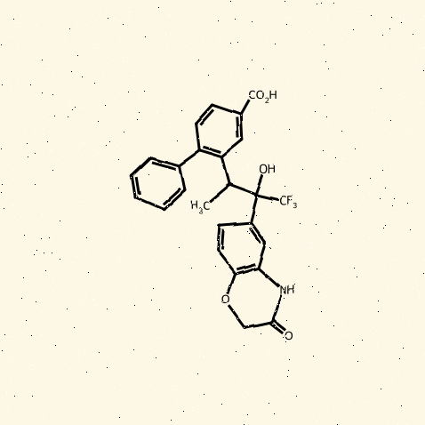 CC(c1cc(C(=O)O)ccc1-c1ccccc1)C(O)(c1ccc2c(c1)NC(=O)CO2)C(F)(F)F